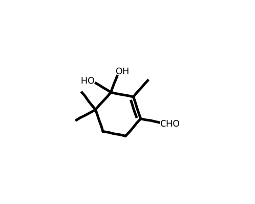 CC1=C(C=O)CCC(C)(C)C1(O)O